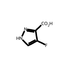 O=C(O)c1n[nH]cc1F